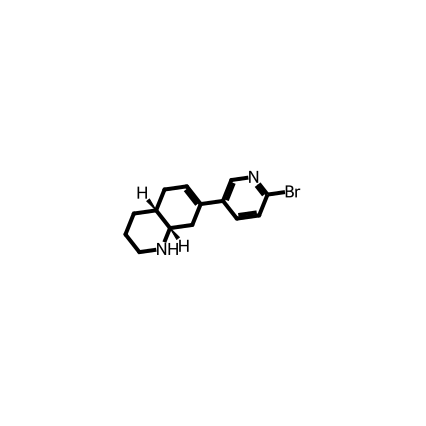 Brc1ccc(C2=CC[C@H]3CCCN[C@H]3C2)cn1